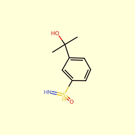 CC(C)(O)c1cccc([SH](=N)=O)c1